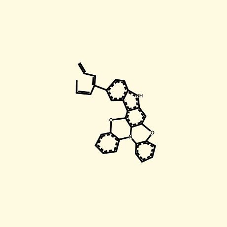 C=C/C=C(\C=C/C)c1ccc2[nH]c3cc4c5c(c3c2c1)Oc1ccccc1N5c1ccccc1O4